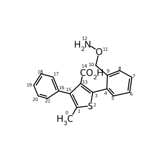 Cc1sc(-c2ccccc2CON)c(C(=O)O)c1-c1ccccc1